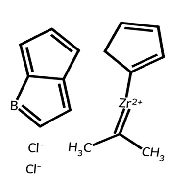 B1=CC=C2C=CC=C12.C[C](C)=[Zr+2][C]1=CC=CC1.[Cl-].[Cl-]